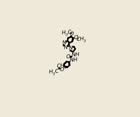 COc1cc2ncnc(N3CCC(NC(=O)Nc4ccc(OC(C)C)cc4)C3)c2cc1OC